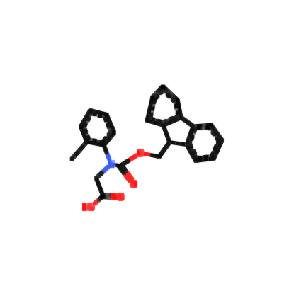 Cc1ccccc1N(CC(=O)O)C(=O)OCC1c2ccccc2-c2ccccc21